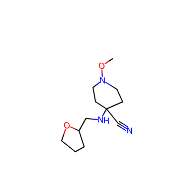 CON1CCC(C#N)(NCC2CCCO2)CC1